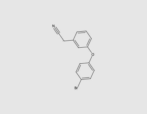 N#C[CH]c1cccc(Oc2ccc(Br)cc2)c1